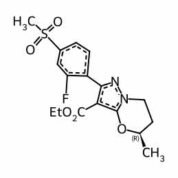 CCOC(=O)c1c(-c2ccc(S(C)(=O)=O)cc2F)nn2c1O[C@H](C)CC2